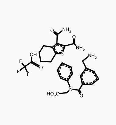 NC(=O)c1sc2c(c1C(N)=O)CCCC2.NCc1cccc(C(=O)N(CC(=O)O)c2ccccc2)c1.O=C(O)C(F)(F)F